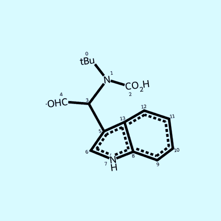 CC(C)(C)N(C(=O)O)C([C]=O)c1c[nH]c2ccccc12